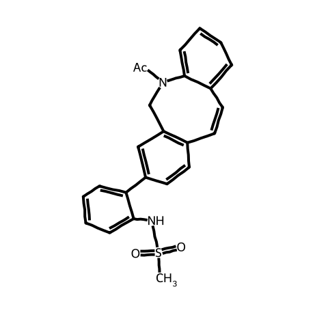 CC(=O)N1Cc2cc(-c3ccccc3NS(C)(=O)=O)ccc2C=Cc2ccccc21